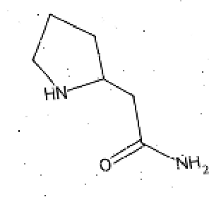 NC(=O)CC1CCCN1